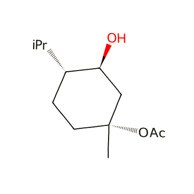 CC(=O)O[C@]1(C)CC[C@H](C(C)C)[C@@H](O)C1